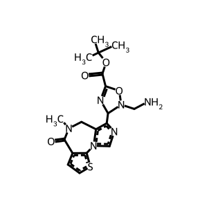 CN1Cc2c(C3N=C(C(=O)OC(C)(C)C)ON3CN)ncn2-c2sccc2C1=O